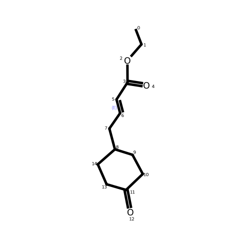 CCOC(=O)/C=C/CC1CCC(=O)CC1